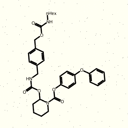 CCCCCCNC(=O)OCc1ccc(CNC(=O)OC2CCCCN2C(=O)Oc2ccc(Oc3ccccc3)cc2)cc1